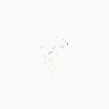 O=C(c1cc(F)ccc1-c1ncccn1)N1C[C@@H]2CC[C@H]1[C@H](Nc1ncc(C(F)(F)F)cc1F)C2